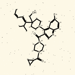 C/C=C\C=C(/C(C)C)C1(CO)CCN(c2c(C(=O)N3CCN(C(=O)C4CC4)CC3)cnc3ccc(F)cc23)CC1